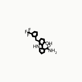 NC(=O)c1cccc2[nH]c3c(Cc4cccc(C(F)(F)F)c4)ccc(O)c3c12